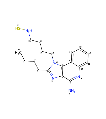 CCCCc1nc2c(N)nc3ccccc3c2n1CCCCNS